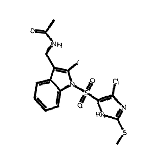 CSc1nc(Cl)c(S(=O)(=O)n2c(I)c(CNC(C)=O)c3ccccc32)[nH]1